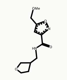 COCc1cc(C(=O)NCC2CCOC2)no1